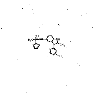 CC1Nc2ccc(C#C[C@@](C)(O)c3nccs3)cc2N1c1ncnc(N)n1